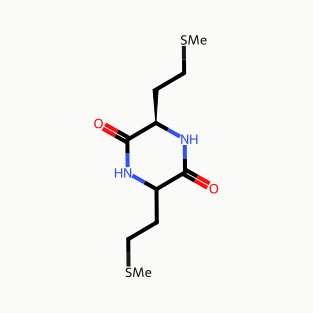 CSCCC1NC(=O)[C@@H](CCSC)NC1=O